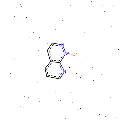 [O-][n+]1nccc2cccnc21